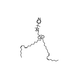 CCCCC/C=C\C/C=C\CCCCCCCCC1(CCCCCCCC/C=C\C/C=C\CCCCC)OCC(CCN(C)C(C)(C)C(C)(C)c2ccncc2)O1